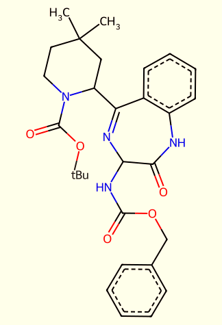 CC1(C)CCN(C(=O)OC(C)(C)C)C(C2=NC(NC(=O)OCc3ccccc3)C(=O)Nc3ccccc32)C1